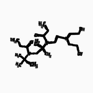 CCC(=O)N(CC(C)(C)N(CCN(CCO)CCO)C(=O)CC)C(C)(C)C